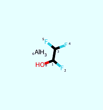 OC(F)C(F)F.[AlH3]